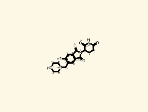 O=C1CCC(N2C(=O)c3cc(F)c(CN4CCNCC4)cc3C2=O)C(=O)N1